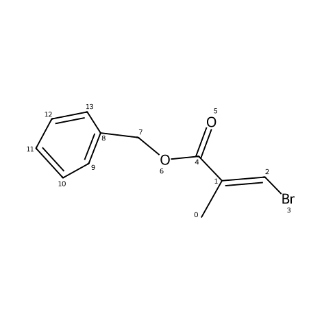 C/C(=C\Br)C(=O)OCc1ccccc1